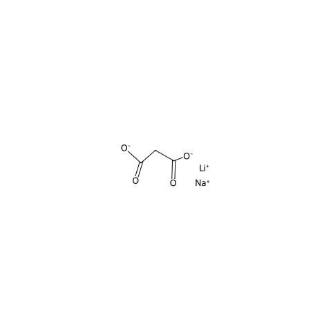 O=C([O-])CC(=O)[O-].[Li+].[Na+]